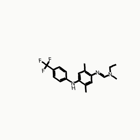 CCN(C)C=Nc1cc(C)c(Nc2ccc(C(F)(F)F)cc2)cc1C